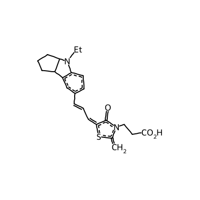 C=c1s/c(=C/C=C/c2ccc3c(c2)C2CCCC2N3CC)c(=O)n1CCC(=O)O